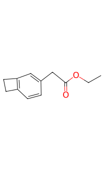 CCOC(=O)Cc1ccc2c(c1)CC2